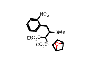 C1CC2CC1O2.CCOC(=O)C(C(=O)OCC)C(Cc1ccccc1[N+](=O)[O-])OC